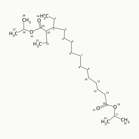 CCC(CCCCCCCCCCCC(=O)OC(C)C)C(CC)C(=O)OC(C)C